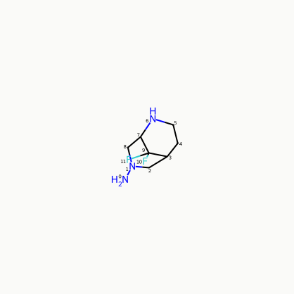 NN1CC2CCNC(C1)C2(F)F